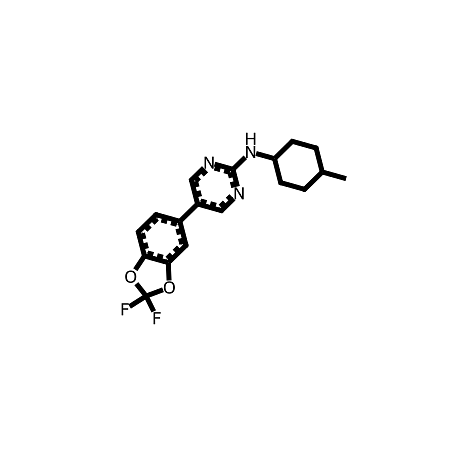 CC1CCC(Nc2ncc(-c3ccc4c(c3)OC(F)(F)O4)cn2)CC1